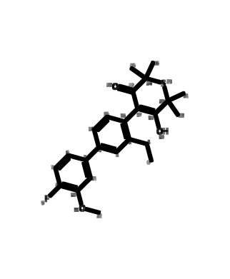 CCc1cc(-c2ccc(F)c(OC)c2)ccc1C1=C(O)C(C)(C)SC(C)(C)C1=O